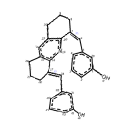 Oc1cccc(/C=C2/CCCc3cc4c(nc32)/C(=C/c2cccc(O)c2)CCC4)c1